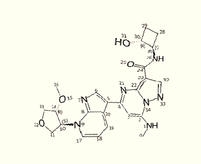 CNc1cc(-c2cnc3n([C@H]4COC[C@@H]4OC)cccc2-3)nc2c(C(=O)N[C@@H]3CC[C@H]3O)cnn12